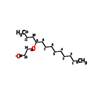 CCCCCCCCCC(CCC)OCC[O]